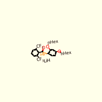 CCCCCCOc1ccc(PC(=O)c2c(C(F)(F)F)cccc2C(F)(F)F)c(OCCCCCC)c1.[LiH]